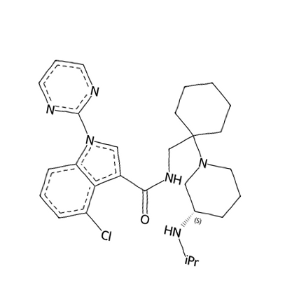 CC(C)N[C@H]1CCCN(C2(CNC(=O)c3cn(-c4ncccn4)c4cccc(Cl)c34)CCCCC2)C1